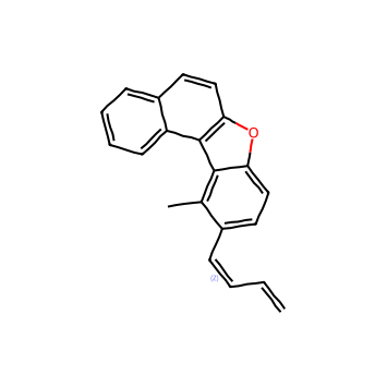 C=C/C=C\c1ccc2oc3ccc4ccccc4c3c2c1C